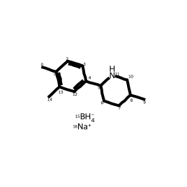 Cc1ccc(C2CCC(C)CN2)cc1C.[BH4-].[Na+]